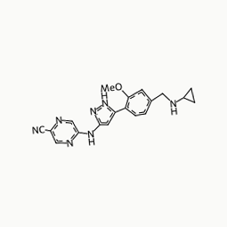 COc1cc(CNC2CC2)ccc1-c1cc(Nc2cnc(C#N)cn2)n[nH]1